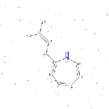 CC(C)=C[CH]C1=CC=CC=CN1